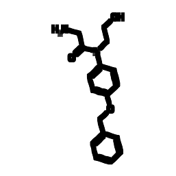 NCC(=O)N(CCO)c1ccc(OCc2ccccc2)cc1